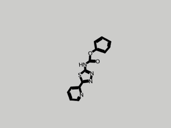 O=C(Nc1nnc(-c2ccccn2)s1)Oc1ccccc1